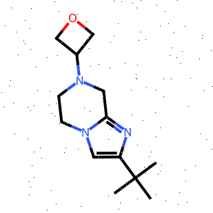 CC(C)(C)c1cn2c(n1)CN(C1COC1)CC2